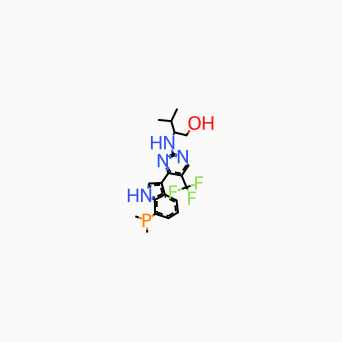 CC(C)C(CO)Nc1ncc(C(F)(F)F)c(-c2c[nH]c3c(P(C)C)cccc23)n1